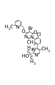 Cc1cccc(COc2nc(C)n(-c3cc(-c4nc(C(C)(C)O)ncc4C)ccc3Cl)c(=O)c2Br)n1